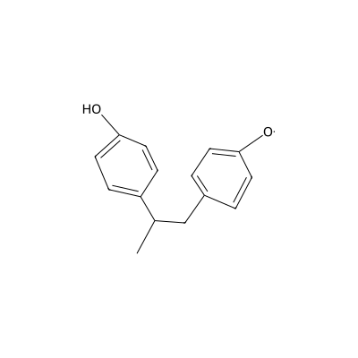 CC(Cc1ccc([O])cc1)c1ccc(O)cc1